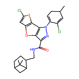 CC1C=C(Cl)C(n2nc(C(=O)NCC3CCC4CC3C4(C)C)c3oc4cc(Cl)sc4c32)=CC1